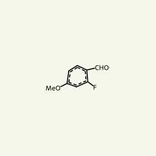 COc1ccc([C]=O)c(F)c1